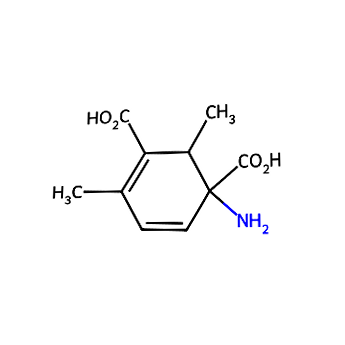 CC1=C(C(=O)O)C(C)C(N)(C(=O)O)C=C1